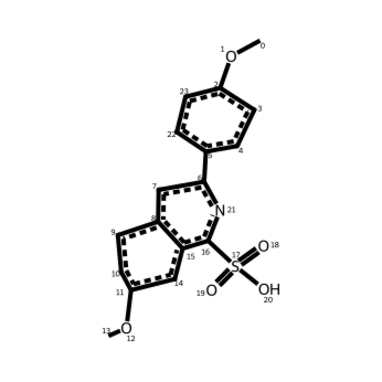 COc1ccc(-c2cc3ccc(OC)cc3c(S(=O)(=O)O)n2)cc1